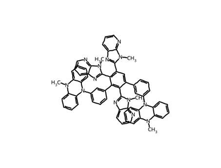 CN1c2ccccc2N(c2cccc(-c3cc(-c4nc5cccnc5n4C)c(-c4nc5cccnc5n4C)c(-c4cccc(N5c6ccccc6N(C)c6ccccc65)c4)c3-c3nc4cccnc4n3C)c2)c2ccccc21